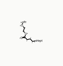 CCCCCCCCCCC(=O)OCCOCCC